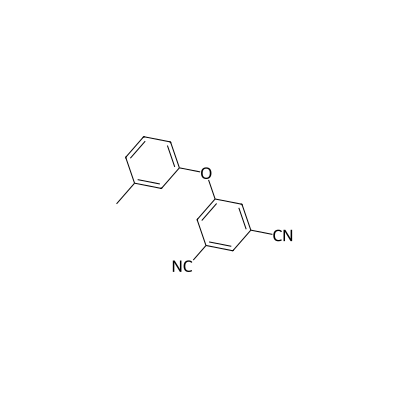 Cc1cccc(Oc2cc(C#N)cc(C#N)c2)c1